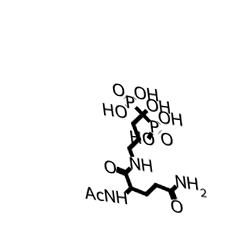 CC(=O)NC(CCC(N)=O)C(=O)NCCCC(O)(P(=O)(O)O)P(=O)(O)O